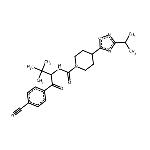 CC(C)c1noc(C2CCN(C(=O)NC(C(=O)c3ccc(C#N)cc3)C(C)(C)C)CC2)n1